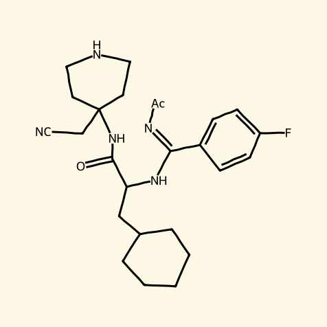 CC(=O)N=C(NC(CC1CCCCC1)C(=O)NC1(CC#N)CCNCC1)c1ccc(F)cc1